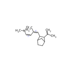 C=C(C)C1C2CCC(C2)C1/C=C(\C=C/N(C)C)C(F)(F)F